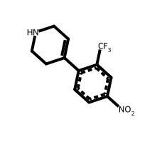 O=[N+]([O-])c1ccc(C2=CCNCC2)c(C(F)(F)F)c1